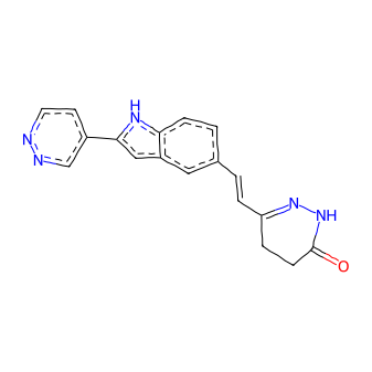 O=C1CCC(C=Cc2ccc3[nH]c(-c4ccnnc4)cc3c2)=NN1